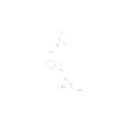 C#C/C(C)=N/C(=N)N1CCN(C(=C)c2cc(CN3CCN(/C(=C/CC)CC)CC3)c(C)cc2C)CC1